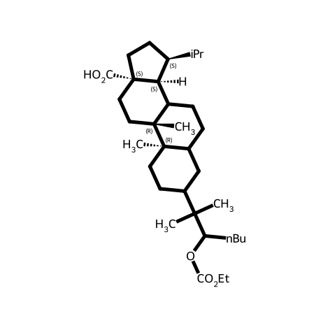 CCCCC(OC(=O)OCC)C(C)(C)C1CC[C@]2(C)C(CCC3[C@@H]4[C@H](C(C)C)CC[C@]4(C(=O)O)CC[C@]32C)C1